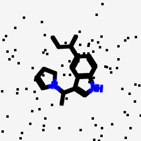 CCC(C)c1ccc2[nH]cc(C(C)N3C=CCC3)c2c1